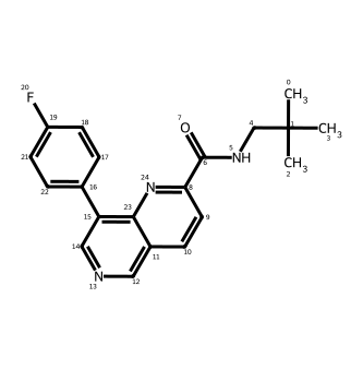 CC(C)(C)CNC(=O)c1ccc2cncc(-c3ccc(F)cc3)c2n1